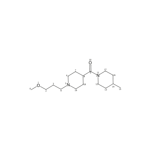 COCCCN1CCC(C(=O)N2CCC(C)CC2)CC1